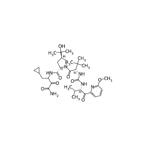 COc1cccc(C(=O)[C@@H](NC(=O)N[C@H](C(=O)N2C[C@H](C(C)(C)O)C[C@H]2C(=O)NC(CC2CC2)C(=O)C(N)=O)C(C)(C)C)C(C)C)n1